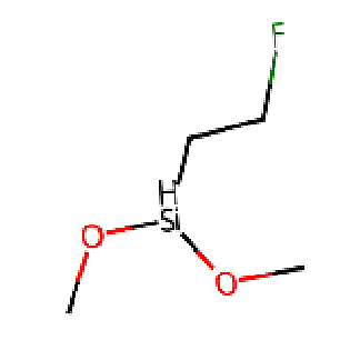 CO[SiH](CCF)OC